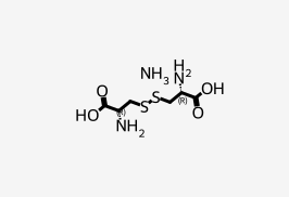 N.N[C@@H](CSSC[C@H](N)C(=O)O)C(=O)O